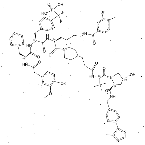 COc1cc(CC(=O)N[C@@H](Cc2ccccc2)C(=O)N[C@@H](Cc2ccc(C(F)(F)P(=O)(O)O)cc2)C(=O)N[C@@H](CCCCNC(=O)c2ccc(C)c(Br)c2)C(=O)N2CCC(CCC(=O)N[C@H](C(=O)N3C[C@H](O)C[C@H]3C(=O)NCc3ccc(-c4scnc4C)cc3)C(C)(C)C)CC2)ccc1O